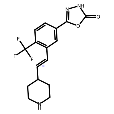 O=c1[nH]nc(-c2ccc(C(F)(F)F)c(/C=C/C3CCNCC3)c2)o1